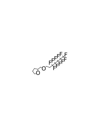 FC(F)(F)C(F)(F)C(F)(F)C(F)(F)C(F)(F)CCOCC1CCCO1